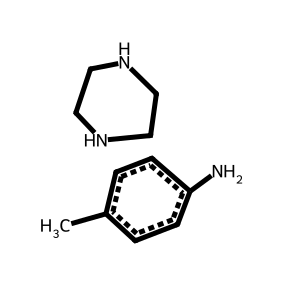 C1CNCCN1.Cc1ccc(N)cc1